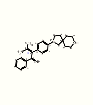 C/C(N)=C(/C(=N)c1ccccc1)c1ccc(N2CCC3(CCOCC3)C2)cc1